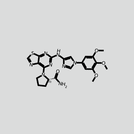 COc1cc(-n2cnc(Nc3nc(N4CCC[C@H]4C(N)=O)c4ncsc4n3)c2)cc(OC)c1OC